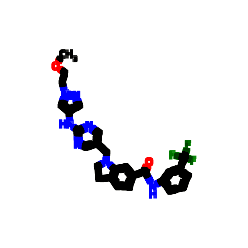 COCCn1cc(Nc2ncc(CN3CCc4ccc(C(=O)Nc5cccc(C(F)(F)F)c5)cc43)cn2)cn1